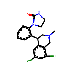 CN1Cc2c(Cl)cc(Cl)cc2C(c2ccccc2N2CCNC2=O)C1